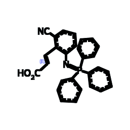 N#Cc1cccc(N=P(c2ccccc2)(c2ccccc2)c2ccccc2)c1/C=C/C(=O)O